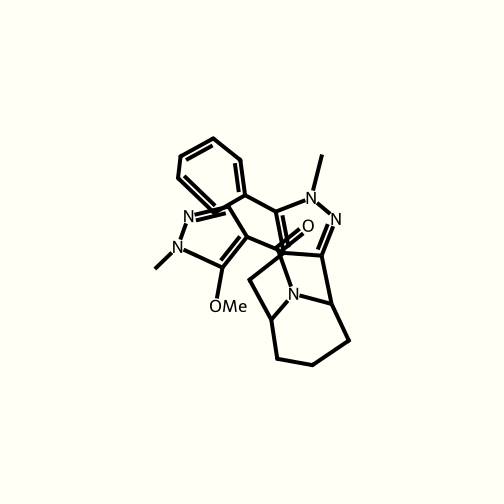 COc1c(C(=O)N2C3CCCC2c2nn(C)c(-c4ccccc4)c2C3)cnn1C